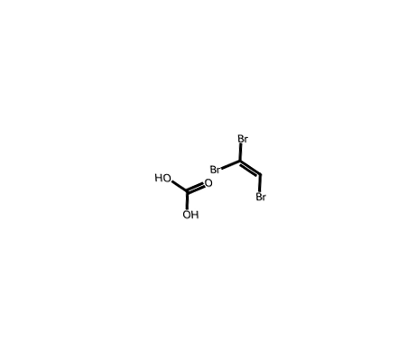 BrC=C(Br)Br.O=C(O)O